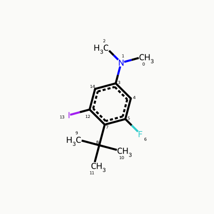 CN(C)c1cc(F)c(C(C)(C)C)c(I)c1